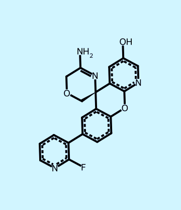 NC1=N[C@@]2(COC1)c1cc(-c3cccnc3F)ccc1Oc1ncc(O)cc12